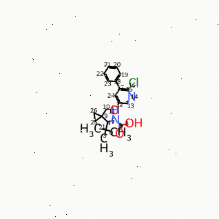 CC(C)(C)C(NC(=O)O)C1(COc2cnc(Cl)c(-c3ccccc3)c2)CC1